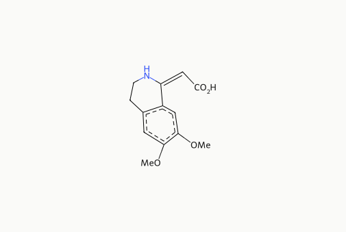 COc1cc2c(cc1OC)/C(=C\C(=O)O)NCC2